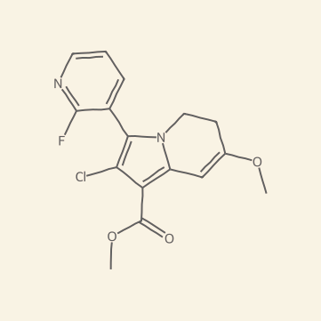 COC(=O)c1c(Cl)c(-c2cccnc2F)n2c1C=C(OC)CC2